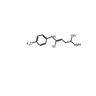 CC/C(=C\CC(O)NC)Nc1ccc(C(F)(F)F)cc1